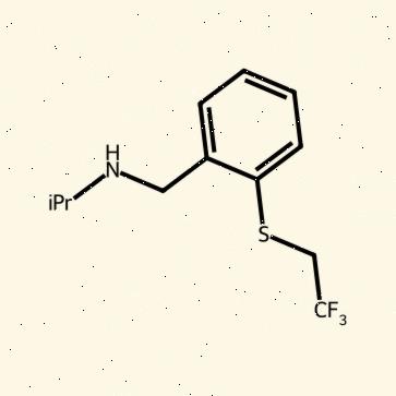 CC(C)NCc1ccccc1SCC(F)(F)F